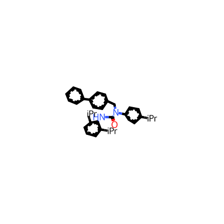 CC(C)c1ccc(N(Cc2ccc(-c3ccccc3)cc2)C(=O)Nc2c(C(C)C)cccc2C(C)C)cc1